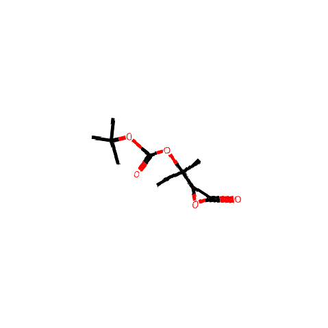 CC(C)(C)OC(=O)OC(C)(C)C1OC1=O